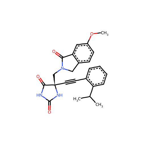 COc1ccc2c(c1)C(=O)N(C[C@@]1(C#Cc3ccccc3C(C)C)NC(=O)NC1=O)C2